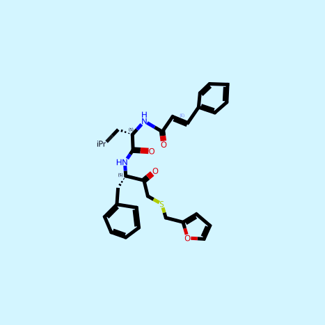 CC(C)C[C@H](NC(=O)/C=C/c1ccccc1)C(=O)N[C@@H](Cc1ccccc1)C(=O)CSCc1ccco1